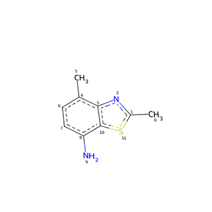 Cc1nc2c(C)ccc(N)c2s1